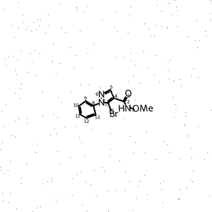 CONC(=O)c1cnn(-c2ccccc2)c1Br